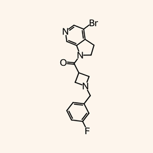 O=C(C1CN(Cc2cccc(F)c2)C1)N1CCc2c(Br)cncc21